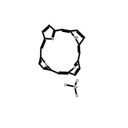 C1=Cc2cc3ccc(cc4nc(cc5ccc(cc1n2)[nH]5)C=C4)[nH]3.[Cl][Au]([Cl])[Cl]